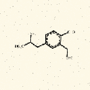 NC(Cc1ccc(C=O)c(CC=O)c1)C(=O)O